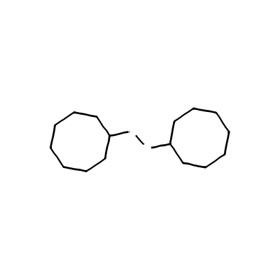 B(BC1CCCCCCC1)C1CCCCCCC1